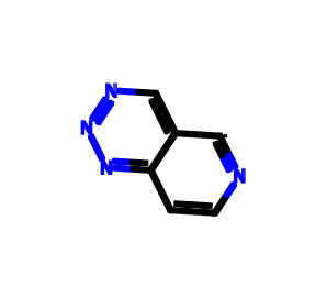 [c]1nccc2nnncc12